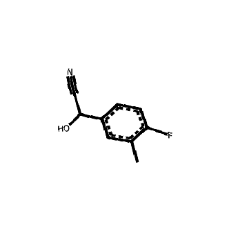 Cc1cc(C(O)C#N)ccc1F